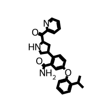 CC(C)c1ccccc1Oc1ccc(C2CNC(C(=O)c3ccccn3)C2)c(C(N)=O)c1